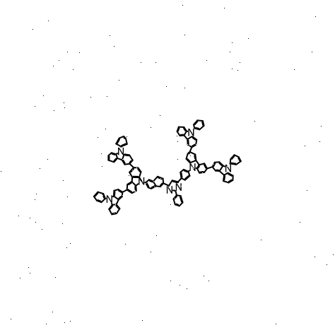 c1ccc(-c2nc(-c3ccc(-n4c5ccc(-c6ccc7c(c6)c6ccccc6n7-c6ccccc6)cc5c5cc(-c6ccc7c(c6)c6ccccc6n7-c6ccccc6)ccc54)cc3)cc(-c3ccc4cc(-n5c6ccc(-c7ccc8c(c7)c7ccccc7n8-c7ccccc7)cc6c6cc(-c7ccc8c(c7)c7ccccc7n8-c7ccccc7)ccc65)ccc4c3)n2)cc1